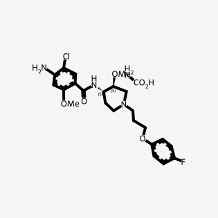 COc1cc(N)c(Cl)cc1C(=O)N[C@H]1CCN(CCCOc2ccc(F)cc2)C[C@@H]1OC.NC(=O)O